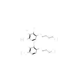 CCCCCOc1ccc(O)c(F)c1F.CCCCOc1ccc(O)c(F)c1F